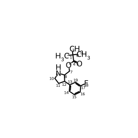 CC(C)(C)C(=O)OCC1NCCC1c1cccc(F)c1